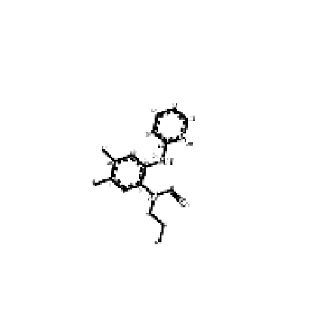 CCCN(C=O)c1cc(C)c(C)cc1Nc1ccccn1